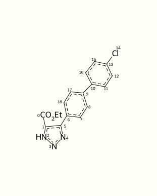 CCOC(=O)c1[nH]nnc1-c1ccc(-c2ccc(Cl)cc2)cc1